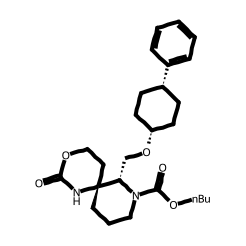 CCCCOC(=O)N1CCC[C@@]2(CCOC(=O)N2)[C@@H]1CO[C@H]1CC[C@@H](c2ccccc2)CC1